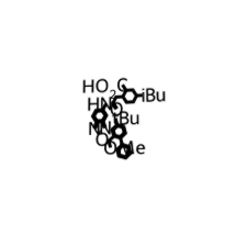 CCC(C)C1CCC(CC(=O)Nc2ccc3ncn(-c4c(C(C)(C)C)ccc(-c5ccccc5)c4C(=O)OC)c3c2)C(C(=O)O)C1